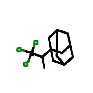 CC(C12CC3CC(CC(C3)C1)C2)[Si](Cl)(Cl)Cl